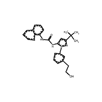 CC(C)(C)c1cc(NC(=O)Nc2cccc3ccccc23)n(-c2cccc(CCO)c2)n1